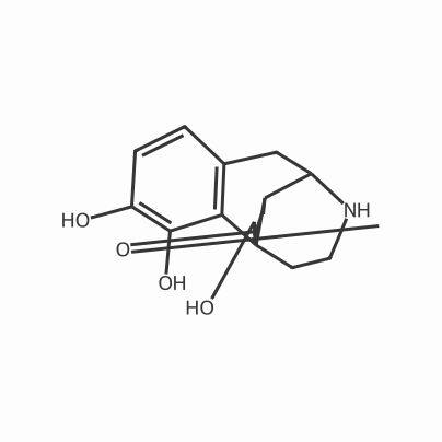 O=C1CCC2C3Cc4ccc(O)c(O)c4C2(CCN3)C1O